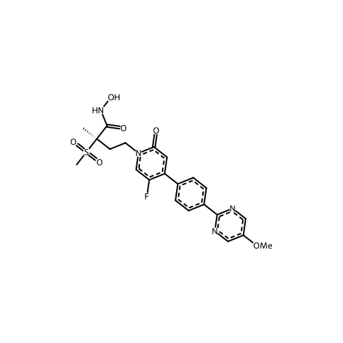 COc1cnc(-c2ccc(-c3cc(=O)n(CC[C@](C)(C(=O)NO)S(C)(=O)=O)cc3F)cc2)nc1